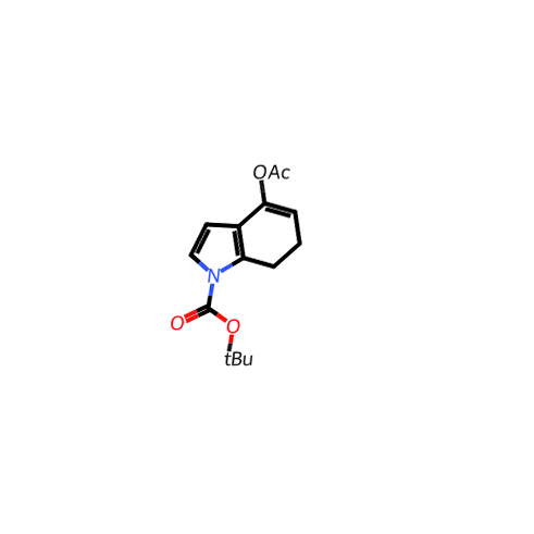 CC(=O)OC1=CCCc2c1ccn2C(=O)OC(C)(C)C